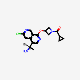 CC[C@@](C)(N)c1cnc(OC2CN(C(=O)C3CC3)C2)c2cnc(Cl)cc12